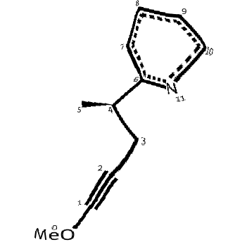 COC#CC[C@@H](C)c1ccccn1